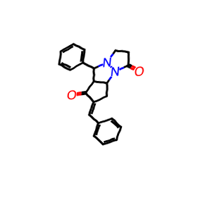 O=C1/C(=C/c2ccccc2)CC2C1C(c1ccccc1)N1CCC(=O)N21